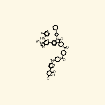 CC(C)n1cnc2cc(-c3ccc4c(c3)N([C@H]3C[C@@H](N5CCCCC5)C3)C(=O)C43CCN(C(=O)[C@H]4CC[C@H](C(=O)N5CCC(N(C)c6ccc(C7CCC(=O)NC7=O)cn6)CC5)CC4)CC3)nc(Nc3ccncc3F)c21